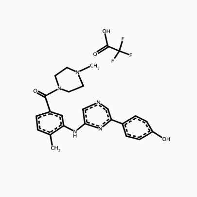 Cc1ccc(C(=O)N2CCN(C)CC2)cc1Nc1cncc(-c2ccc(O)cc2)n1.O=C(O)C(F)(F)F